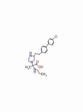 CCCNC(C)(C(=O)O)N1CCNC(CCc2ccc(-c3ccc(Cl)cc3)cc2)C1